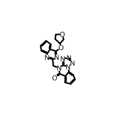 O=c1c2ccccc2n2nnnc2n1Cc1nc(OC2CCOC2)c2ccccc2n1